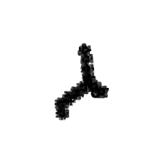 c1ccc(-c2ccc(-c3ccc(-c4ccc(N(c5ccc(-c6ccc(-c7ccc(-c8cccc(-c9ccccc9)c8)cc7)cc6)cc5)c5ccc6c(c5)oc5ccccc56)cc4)cc3)cc2)cc1